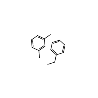 CCc1ccccc1.Cc1cccc(C)c1